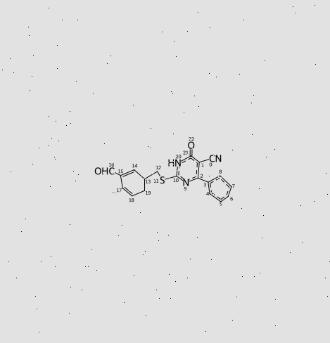 N#Cc1c(-c2ccccc2)nc(SCC2C=C(C=O)C=CC2)[nH]c1=O